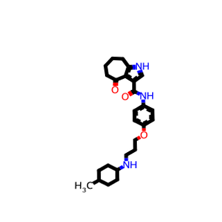 CC1CCC(NCCCOc2ccc(NC(=O)c3c[nH]c4c3C(=O)CCCC4)cc2)CC1